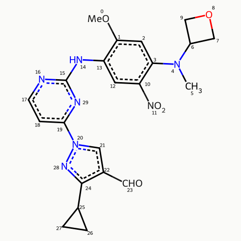 COc1cc(N(C)C2COC2)c([N+](=O)[O-])cc1Nc1nccc(-n2cc(C=O)c(C3CC3)n2)n1